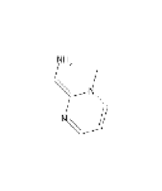 CN1C=CC=N/C1=C/N